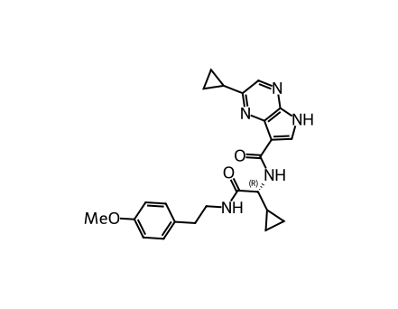 COc1ccc(CCNC(=O)[C@H](NC(=O)c2c[nH]c3ncc(C4CC4)nc23)C2CC2)cc1